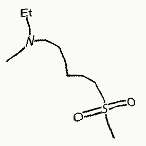 CCN(C)CCCS(C)(=O)=O